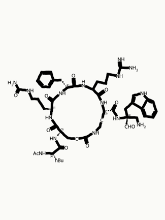 CCCC[C@H](NC(C)=O)C(=O)N[C@H]1CCC(=O)NCC[C@@H](C(=O)N[C@@](C=O)(CN)Cc2c[nH]c3ccccc23)NC(=O)C(CCCNC(=N)N)NC(=O)[C@@H](Cc2ccccc2)NC(=O)[C@H](CCCNC(N)=O)NC1=O